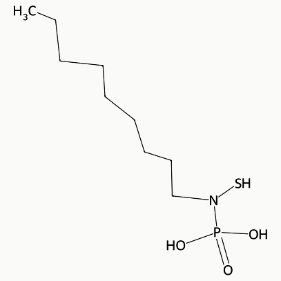 CCCCCCCCCN(S)P(=O)(O)O